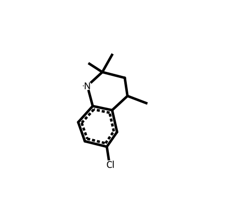 CC1CC(C)(C)[N]c2ccc(Cl)cc21